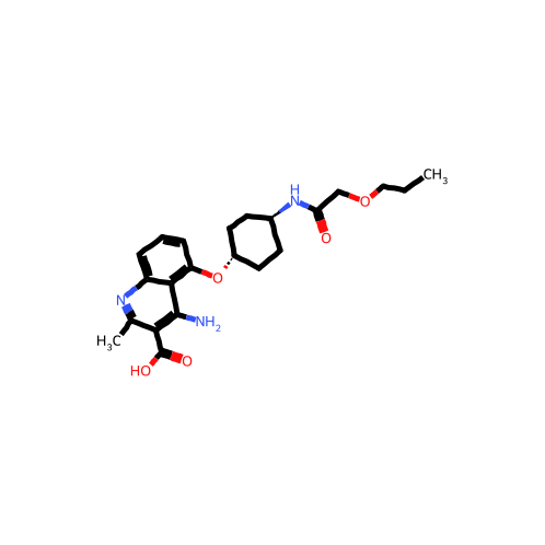 CCCOCC(=O)N[C@H]1CC[C@H](Oc2cccc3nc(C)c(C(=O)O)c(N)c23)CC1